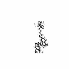 O=C(CCCCOc1ccc2ncnc(Nc3ccc(F)c(Cl)c3)c2c1)NO